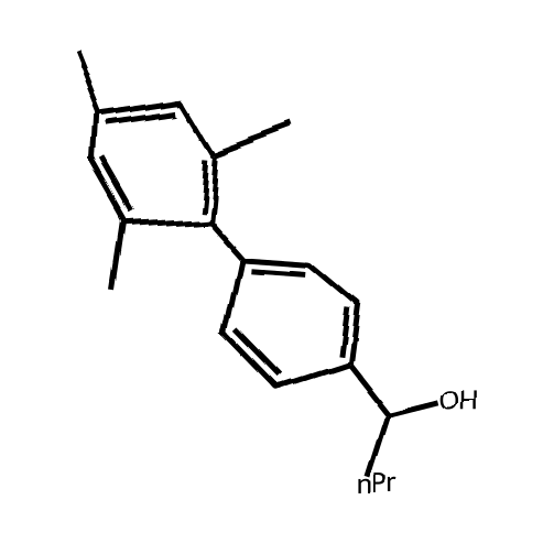 CCCC(O)c1ccc(-c2c(C)cc(C)cc2C)cc1